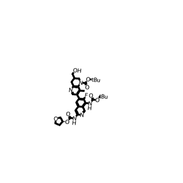 Cc1c(-c2cc3cc(NC(=O)O[C@@H]4CCOC4)ncc3c(NC(=O)OC(C)(C)C)c2F)cnc2c1N(C(=O)OC(C)(C)C)CC(CO)C2